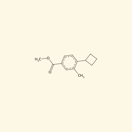 COC(=O)c1ccc(C2CCC2)c(C)c1